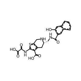 O=C(O)C(=O)Nc1sc2c(c1C(=O)O)C[C@@H](CNC(=O)c1cc3ccccc3cc1O)NC2